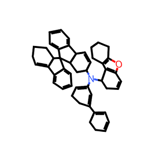 C1=CCCC(C2=CC(N(C3C=CC4c5ccccc5C5(c6ccccc6C6=CCCCC65)C4C3)C3CC=Cc4oc5c(c43)CCCC5)=CCC2)=C1